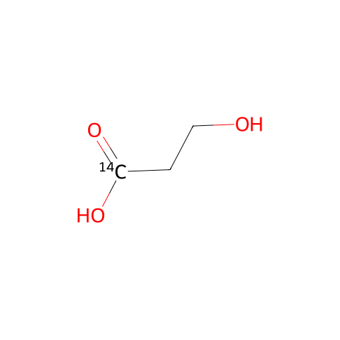 O=[14C](O)CCO